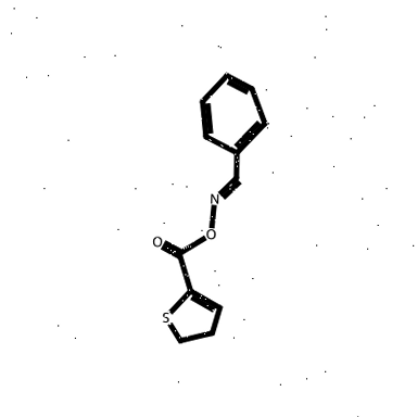 O=C(O/N=C/c1ccccc1)C1=CCCS1